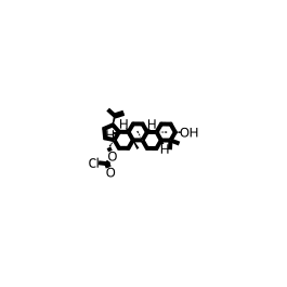 C=C(C)[C@@H]1CC[C@]2(COC(=O)Cl)CC[C@]3(C)[C@H](CC[C@@H]4[C@@]5(C)CC[C@H](O)C(C)(C)[C@@H]5CC[C@]43C)[C@@H]12